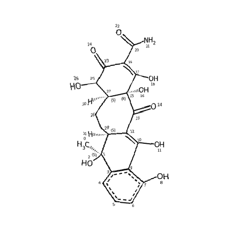 C[C@@]1(O)c2cccc(O)c2C(O)=C2C(=O)[C@]3(O)C(O)=C(C(N)=O)C(=O)C(O)[C@@H]3C[C@@H]21